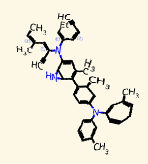 C#C/C=C\C(=C/CC)N(C1=CC(C)=C(C2=CC=C(N(C3=CC(C)=CCC#C3)c3cccc(C)c3)CC2C)C2NC12)/C(C#C)=C/C(C)=C\C